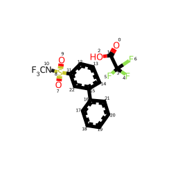 O=C(O)C(F)(F)F.O=S(=O)(NC(F)(F)F)c1cccc(-c2ccccc2)c1